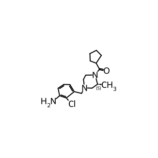 C[C@H]1CN(Cc2cccc(N)c2Cl)CCN1C(=O)C1CCCC1